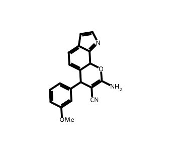 COc1cccc(C2C3=CC=C4C=CN=C4C3OC(N)=C2C#N)c1